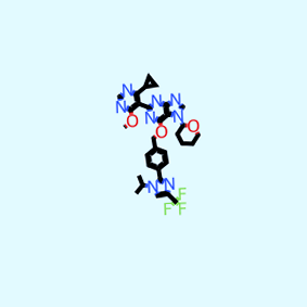 COc1ncnc(C2CC2)c1-c1nc(OCc2ccc(-c3nc(C(F)(F)F)cn3C(C)C)cc2)c2c(ncn2C2CCCCO2)n1